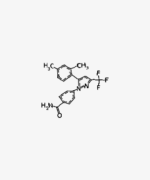 Cc1ccc(-c2cc(C(F)(F)F)nn2-c2ccc(C(N)=O)cc2)c(C)c1